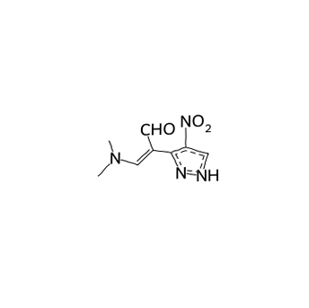 CN(C)C=C(C=O)c1n[nH]cc1[N+](=O)[O-]